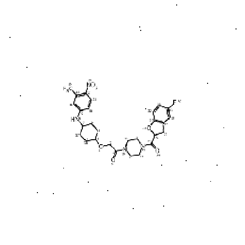 O=C(COC1CCC(Nc2ccc([N+](=O)[O-])c(C(F)(F)F)c2)CC1)N1CCN(C(=O)C2Cc3cc(F)ccc3O2)CC1